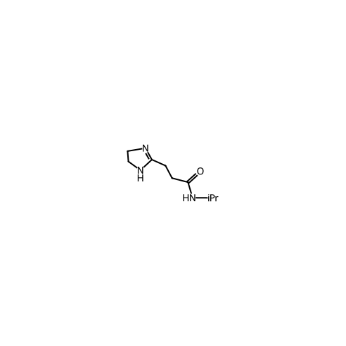 CC(C)NC(=O)CCC1=NCCN1